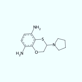 Nc1ccc(N)c2c1OCC(N1CCCC1)S2